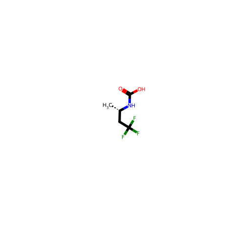 C[C@@H](CC(F)(F)F)NC(=O)O